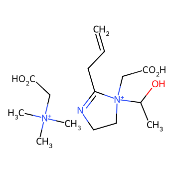 C=CCC1=NCC[N+]1(CC(=O)O)C(C)O.C[N+](C)(C)CC(=O)O